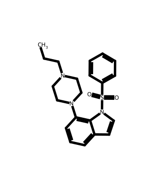 CCCN1CCN(c2cccc3ccn(S(=O)(=O)c4ccccc4)c23)CC1